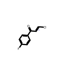 O=C(/C=C/Cl)c1ccc(F)cc1